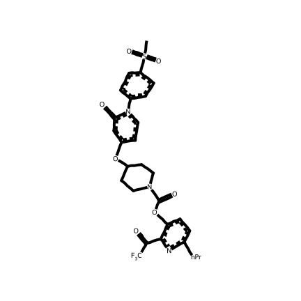 CCCc1ccc(OC(=O)N2CCC(Oc3ccn(-c4ccc(S(C)(=O)=O)cc4)c(=O)c3)CC2)c(C(=O)C(F)(F)F)n1